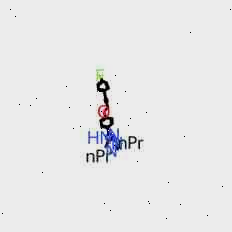 CCCN1Cc2[nH]c(-c3ccc(OCC#Cc4ccc(F)cc4)cc3)nc2N(CCC)C1